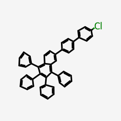 Clc1ccc(-c2ccc(-c3ccc4c(-c5ccccc5)c(-c5ccccc5)c(-c5ccccc5)c(-c5ccccc5)c4c3)cc2)cc1